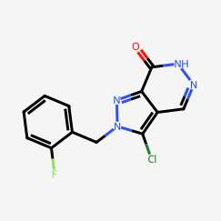 O=c1[nH]ncc2c(Cl)n(Cc3ccccc3F)nc12